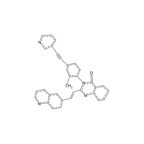 Cc1cc(C#Cc2cccnc2)ccc1-n1c(C=Cc2ccc3ncccc3c2)nc2ccccc2c1=O